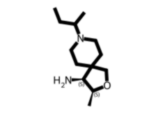 CCC(C)N1CCC2(CC1)CO[C@@H](C)[C@H]2N